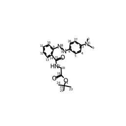 CN(C)c1ccc(/N=N/c2ccccc2C(=O)NCC(=O)OC(C)(C)C)cc1